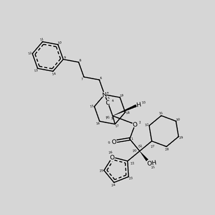 O=C(O[C@H]1C[N+]2(CCCc3ccccc3)CCC1CC2)[C@@](O)(c1ccco1)C1CCCCC1